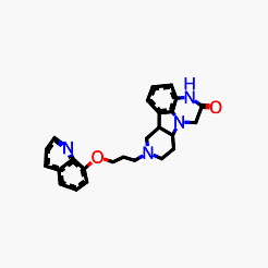 O=C1CN2c3c(cccc3C3CN(CCCOc4cccc5cccnc45)CCC32)N1